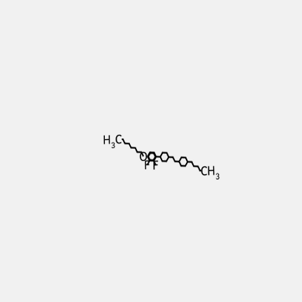 CCCCCCCCOc1ccc(C2CCC(CCC3CCC(CCCCC)CC3)CC2)c(F)c1F